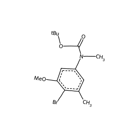 COc1cc(N(C)C(=O)OC(C)(C)C)cc(C)c1Br